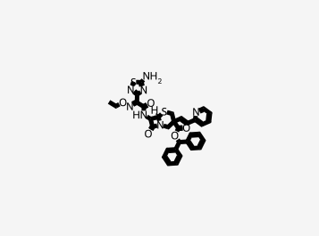 CCON=C(C(=O)NC1C(=O)N2CC(C=Cc3ccccn3)(C(=O)OC(c3ccccc3)c3ccccc3)CS[C@H]12)c1nsc(N)n1